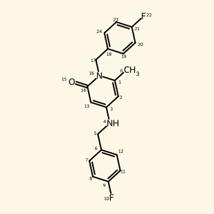 Cc1cc(NCc2ccc(F)cc2)cc(=O)n1Cc1ccc(F)cc1